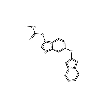 CNC(=O)Oc1coc2cc(Oc3nc4ncccc4s3)ccc12